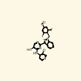 CCOc1cc(F)c(Cn2nc(-c3ncc(O)c(Nc4ccncc4Cl)n3)c3ccccc32)c(F)c1